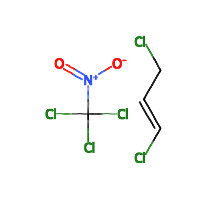 ClC=CCCl.O=[N+]([O-])C(Cl)(Cl)Cl